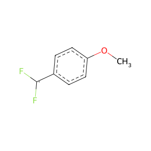 COc1ccc([C](F)F)cc1